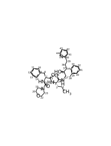 CCC[C@H](NC(=O)[C@H](Cc1ccccc1)NC(=O)N1CCOCC1)C(=O)N[C@@H](Cc1ccccc1)[C@@H](O)CCCc1ccccn1